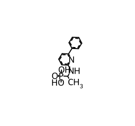 CC(Nc1cccc(-c2ccccc2)n1)P(=O)(O)O